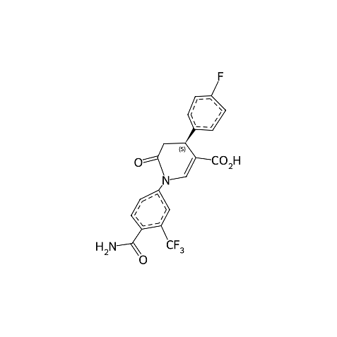 NC(=O)c1ccc(N2C=C(C(=O)O)[C@H](c3ccc(F)cc3)CC2=O)cc1C(F)(F)F